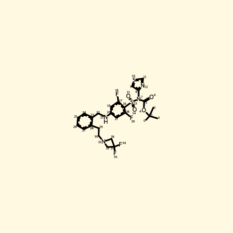 CC(C)(C)OC(=O)N(c1cscn1)S(=O)(=O)c1c(F)cc(NCc2ccccc2CCN2CC(F)(F)C2)cc1F